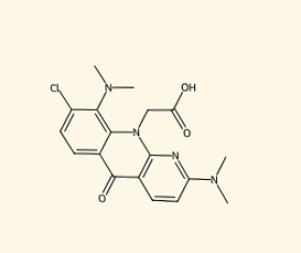 CN(C)c1ccc2c(=O)c3ccc(Cl)c(N(C)C)c3n(CC(=O)O)c2n1